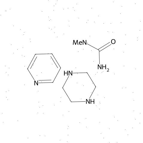 C1CNCCN1.CNC(N)=O.c1ccncc1